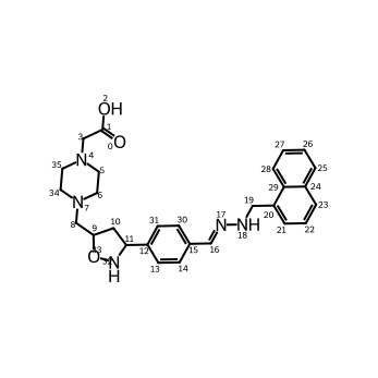 O=C(O)CN1CCN(CC2CC(c3ccc(C=NNCc4cccc5ccccc45)cc3)NO2)CC1